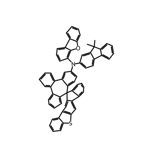 CC1(C)c2ccccc2-c2ccc(N(c3ccc4c(c3)-c3ccccc3-c3ccccc3C43c4ccccc4-c4cc5sc6ccccc6c5cc43)c3cccc4c3oc3ccccc34)cc21